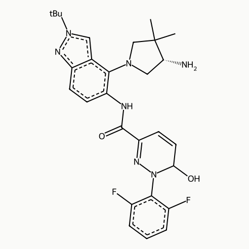 CC1(C)CN(c2c(NC(=O)C3=NN(c4c(F)cccc4F)C(O)C=C3)ccc3nn(C(C)(C)C)cc23)C[C@H]1N